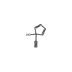 C#CC1(O)C=CC=C1